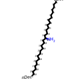 CCCCCCCCCCCCCCCCCCCCCCCCC(N)CCCCCCCCCCCCCCCCCCCCCCCC